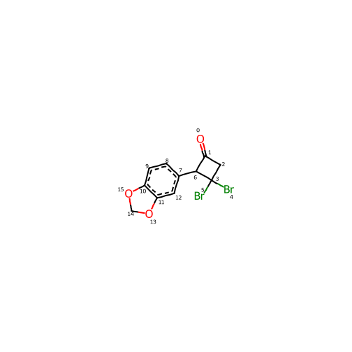 O=C1CC(Br)(Br)C1c1ccc2c(c1)OCO2